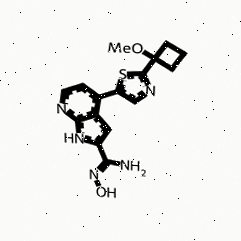 COC1(c2ncc(-c3ccnc4[nH]c(/C(N)=N/O)cc34)s2)CCC1